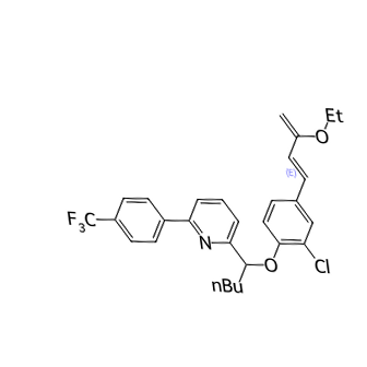 C=C(/C=C/c1ccc(OC(CCCC)c2cccc(-c3ccc(C(F)(F)F)cc3)n2)c(Cl)c1)OCC